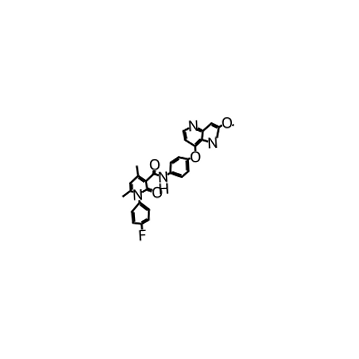 COc1cnc2c(Oc3ccc(NC(=O)c4c(C)cc(C)n(-c5ccc(F)cc5)c4=O)cc3)ccnc2c1